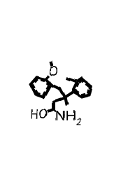 COc1ccccc1CC(C)(C[C@H](N)O)c1ccccc1C